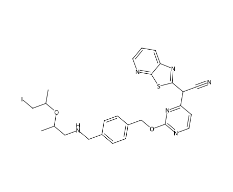 CC(CI)OC(C)CNCc1ccc(COc2nccc(C(C#N)c3nc4cccnc4s3)n2)cc1